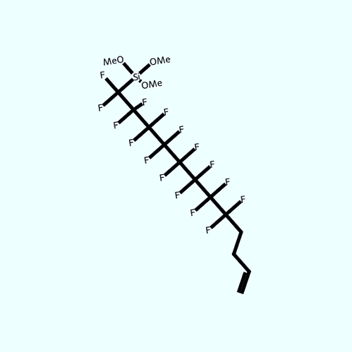 C=CCCC(F)(F)C(F)(F)C(F)(F)C(F)(F)C(F)(F)C(F)(F)C(F)(F)C(F)(F)[Si](OC)(OC)OC